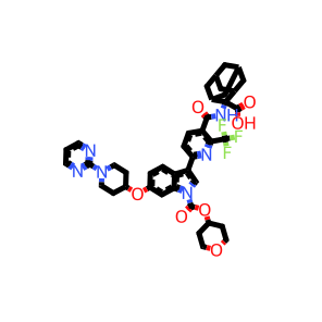 O=C(NC1(C(=O)O)C2CC3CC(C2)CC1C3)c1ccc(-c2cn(C(=O)OC3CCOCC3)c3cc(OC4CCN(c5ncccn5)CC4)ccc23)nc1C(F)(F)F